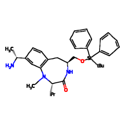 CC(C)[C@H]1C(=O)N[C@H](CO[Si](c2ccccc2)(c2ccccc2)C(C)(C)C)Cc2ccc([C@@H](C)N)cc2N1C